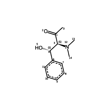 CC(=O)[C@H]([C@@H](O)c1ccccc1)N(C)C